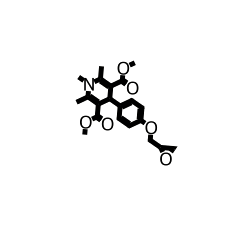 COC(=O)C1=C(C)N(C)C(C)=C(C(=O)OC)C1c1ccc(OCC2CO2)cc1